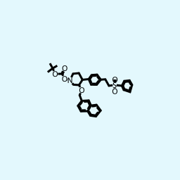 CC(C)(C)OC(=O)ON1CCC(c2ccc(CCS(=O)(=O)c3ccccc3)cc2)C(OCc2ccc3ccccc3c2)C1